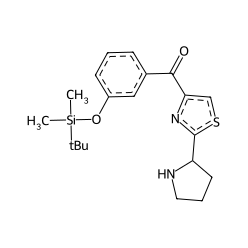 CC(C)(C)[Si](C)(C)Oc1cccc(C(=O)c2csc(C3CCCN3)n2)c1